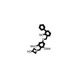 COc1cc(OCc2cccc(-c3ccccc3)c2C#N)cc(OC)c1CN1CC(O)C1